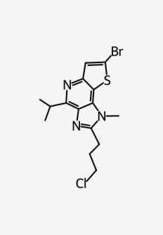 CC(C)c1nc2cc(Br)sc2c2c1nc(CCCCl)n2C